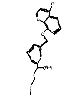 CCCCC(O)c1cccc(COc2cccc3c(Cl)ccnc23)c1